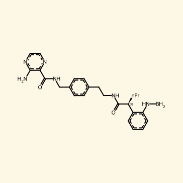 BNc1ccccc1[C@H](CCC)C(=O)NCCc1ccc(CNC(=O)c2nccnc2N)cc1